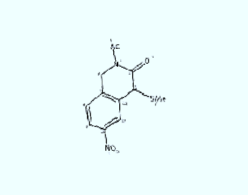 CSC1C(=O)N(C(C)=O)Cc2ccc([N+](=O)[O-])cc21